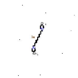 Cc1cc[n+](CCCCC=CC=CCCCC[n+]2ccc(C)cc2)cc1.[Br-].[Br-]